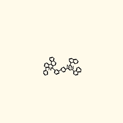 c1ccc(-c2cccc3c2nc(-c2cccc(-c4ccc(-c5cc(-c6cccc7ccccc67)nc(-c6cccc7ccccc67)n5)cc4)c2)c2ccc4ccccc4c23)cc1